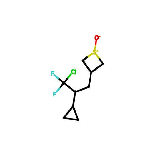 [O-][S+]1CC(C[C](C2CC2)C(F)(F)Cl)C1